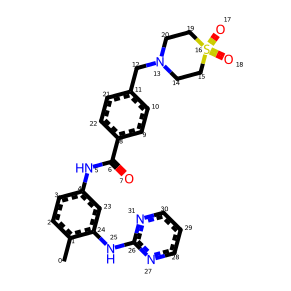 Cc1ccc(NC(=O)c2ccc(CN3CCS(=O)(=O)CC3)cc2)cc1Nc1ncccn1